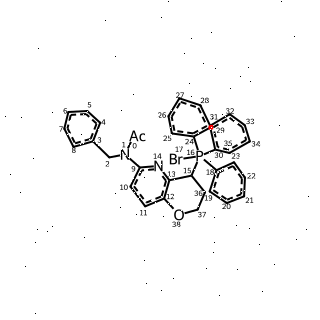 CC(=O)N(Cc1ccccc1)c1ccc2c(n1)C(P(Br)(c1ccccc1)(c1ccccc1)c1ccccc1)CCO2